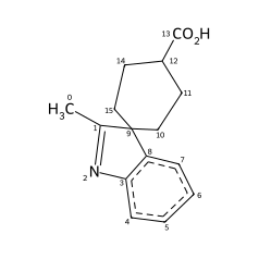 CC1=Nc2ccccc2C12CCC(C(=O)O)CC2